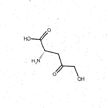 N[C@@H](CC(=O)CO)C(=O)O